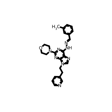 Cc1cccc(/C=N/Nc2nc(N3CCOCC3)nc3c2ncn3CCc2cccnc2)c1